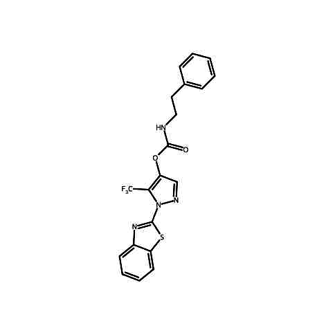 O=C(NCCc1ccccc1)Oc1cnn(-c2nc3ccccc3s2)c1C(F)(F)F